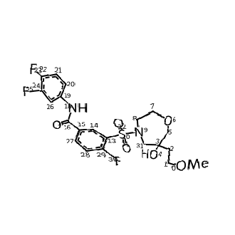 COCCC1(O)COCCN(S(=O)(=O)c2cc(C(=O)Nc3ccc(F)c(F)c3)ccc2F)C1